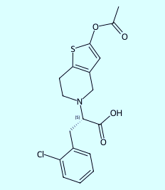 CC(=O)Oc1cc2c(s1)CCN([C@@H](Cc1ccccc1Cl)C(=O)O)C2